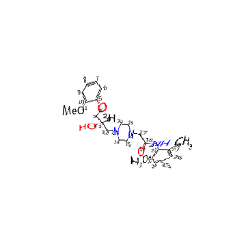 [2H]C(O)(COc1ccccc1OC)CN1CCN(CC(=O)Nc2c(C)cccc2C)CC1